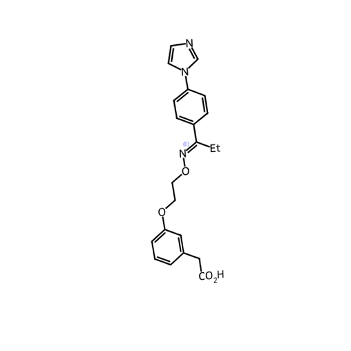 CC/C(=N\OCCOc1cccc(CC(=O)O)c1)c1ccc(-n2ccnc2)cc1